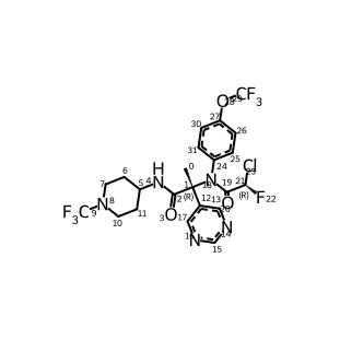 C[C@](C(=O)NC1CCN(C(F)(F)F)CC1)(c1cncnc1)N(C(=O)[C@H](F)Cl)c1ccc(OC(F)(F)F)cc1